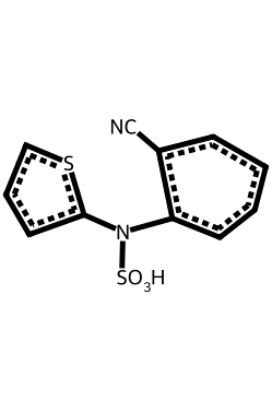 N#Cc1ccccc1N(c1cccs1)S(=O)(=O)O